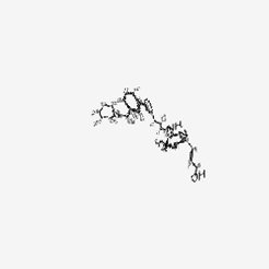 Cn1nc(C=CCO)nc1NCCCOc1cccc(CN2CCCCC2)c1